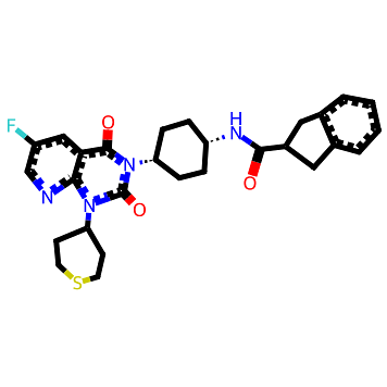 O=C(N[C@H]1CC[C@@H](n2c(=O)c3cc(F)cnc3n(C3CCSCC3)c2=O)CC1)C1Cc2ccccc2C1